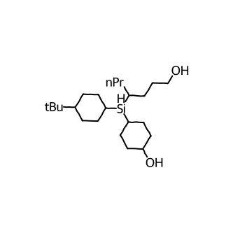 CCCC(CCCO)[SiH](C1CCC(O)CC1)C1CCC(C(C)(C)C)CC1